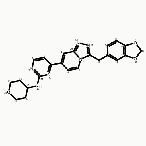 c1cc(-c2ccn3c(Cc4ccc5c(c4)OCO5)nnc3c2)nc(NC2CCOCC2)n1